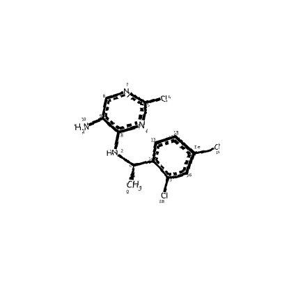 C[C@@H](Nc1nc(Cl)ncc1N)c1ccc(Cl)cc1Cl